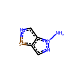 Nn1ncc2sncc21